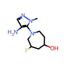 Cn1ncc(N)c1N1CCC(O)CC(F)C1